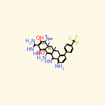 CN(C)[C@@H]1C(O)=C(C(=N)N)C(=N)[C@@]2(O)C(N)=C3C(=N)c4c(N)ccc(-c5ccc(C(F)(F)F)cc5)c4C[C@@]3(C)C[C@@]12C